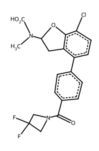 CN(C(=O)O)C1Cc2c(-c3ccc(C(=O)N4CC(F)(F)C4)cc3)ccc(Cl)c2O1